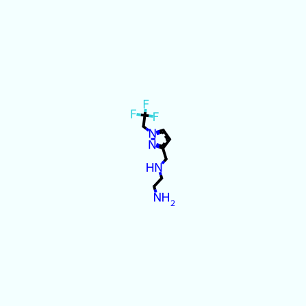 NCCNCc1ccn(CC(F)(F)F)n1